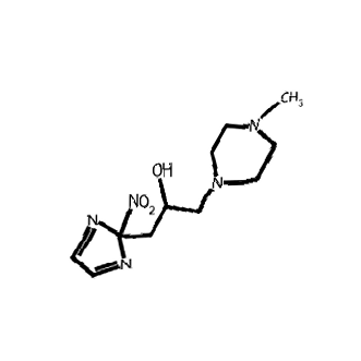 CN1CCN(CC(O)CC2([N+](=O)[O-])N=CC=N2)CC1